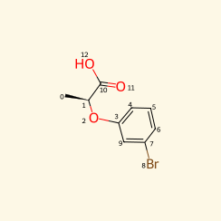 C[C@H](Oc1cccc(Br)c1)C(=O)O